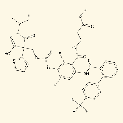 CCC(C)OC(=O)C(COC(=O)Oc1c(F)cc(NC(=O)c2ccccc2-c2ccc(C(F)(F)F)cc2)c(C(=O)NCCC(=O)OC)c1F)(C(=O)O)c1cccs1